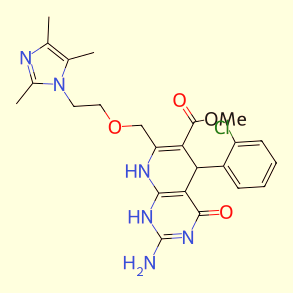 COC(=O)C1=C(COCCn2c(C)nc(C)c2C)Nc2[nH]c(N)nc(=O)c2C1c1ccccc1Cl